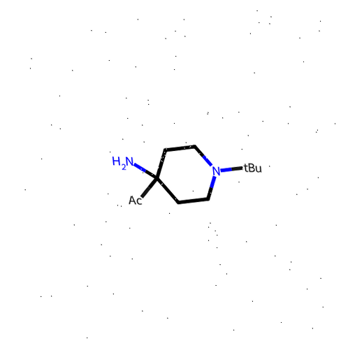 CC(=O)C1(N)CCN(C(C)(C)C)CC1